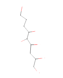 OCCCC(O)C(O)C(O)CC(O)CO